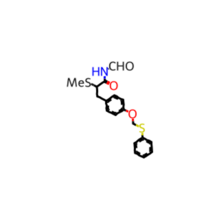 CSC(Cc1ccc(OCSc2ccccc2)cc1)C(=O)NC=O